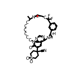 CC1CCCCCCn2c(=O)c(C3(C#N)CCS(=O)(=O)CC3)cc3c(ncnc32)N[C@H](C)c2cccc(c2)C(F)(F)CC2CN1C2